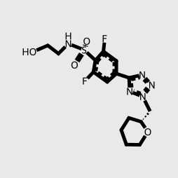 O=S(=O)(NCCO)c1c(F)cc(-c2nnn(C[C@H]3CCCCO3)n2)cc1F